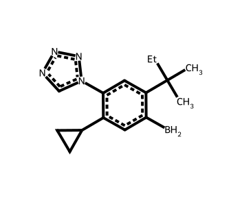 Bc1cc(C2CC2)c(-n2cnnn2)cc1C(C)(C)CC